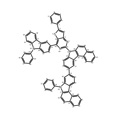 c1ccc(-c2cc3nc(-n4c5ccc(-c6ccc7c8c9ccccc9ccc8n(-c8ccccc8)c7c6)cc5c5c6ccccc6ccc54)nc(-c4ccc5c(c4)c4ccccc4n5-c4ccccc4)c3s2)cc1